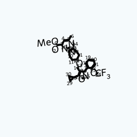 COC(=O)c1cc(C)nc(N2C3C[C@H](OCc4c(-c5ccccc5OC(F)(F)F)noc4C4CC4)CC2[C@H](C)C3)n1